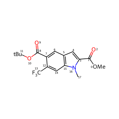 COC(=O)c1cc2cc(C(=O)OC(C)(C)C)c(C(F)(F)F)cc2n1C